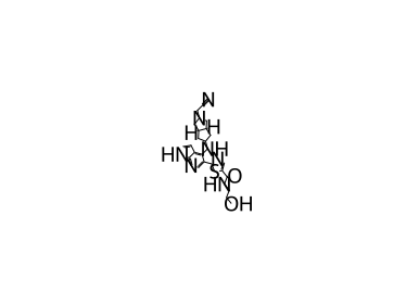 N#CCN1C[C@H]2CC(Nc3c(-c4ncc(C(=O)NCCO)s4)cnc4[nH]ccc34)C[C@H]2C1